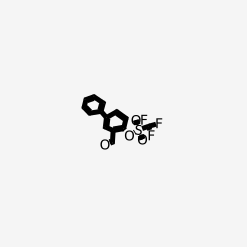 O=Cc1cc(-c2ccccc2)ccc1OS(=O)(=O)C(F)(F)F